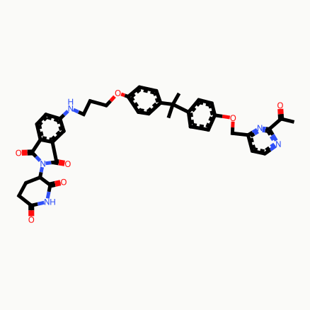 CC(=O)c1nccc(COc2ccc(C(C)(C)c3ccc(OCCCNc4ccc5c(c4)C(=O)N(C4CCC(=O)NC4=O)C5=O)cc3)cc2)n1